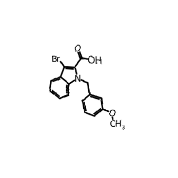 COc1cccc(Cn2c(C(=O)O)c(Br)c3ccccc32)c1